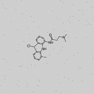 Cc1cccc2c1Nc1c(NC(=O)CCN(C)C)cccc1C2Cl